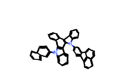 c1ccc2cc(-n3c4ccccc4c4c3c3ccccc3c3c5ccccc5n(-c5ccc6c(c5)-c5cccc7cccc-6c57)c34)ccc2c1